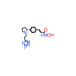 Cn1nnc(CCN2CCC[C@H]2c2ccc(/C=C/C(=O)NO)cc2)n1